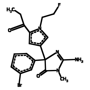 CCC(=O)c1cc(C2(c3cccc(Br)c3)N=C(N)N(C)C2=O)cn1CCF